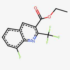 CCOC(=O)c1cc2cccc(F)c2nc1C(F)(F)F